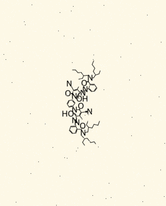 CCCCC(CC)CN(CC(CC)CCCC)C(=O)c1ccccc1/N=N/c1c(C)c(C#N)c(=O)n(-c2cccc(-n3c(O)c(/N=N/c4ccccc4C(=O)N(CC(CC)CCCC)CC(CC)CCCC)c(C)c(C#N)c3=O)c2)c1O